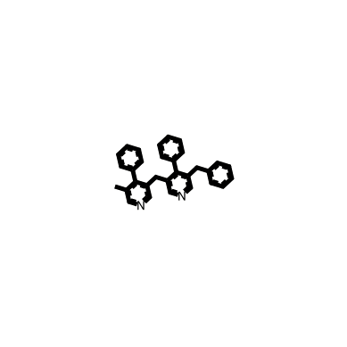 Cc1cncc(Cc2cncc(Cc3ccccc3)c2-c2ccccc2)c1-c1ccccc1